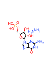 N.N.Nc1nc2c(ncn2[C@@H]2O[C@H](COP(=O)(O)O)[C@@H](O)[C@H]2O)c(=O)[nH]1